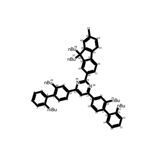 CCCCc1ccccc1-c1ccc(-c2cc(-c3ccc(-c4ccccc4CCCC)c(CCCC)c3)nc(-c3ccc4c(c3)C(CCCC)(CCCC)c3cc(C)ccc3-4)n2)cc1CCCC